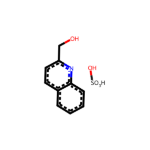 O=S(=O)(O)O.OCc1ccc2ccccc2n1